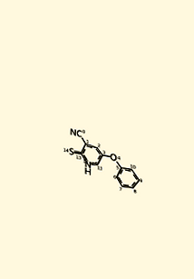 N#Cc1cc(Oc2ccccc2)c[nH]c1=S